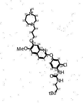 COc1cc2ccc(Oc3ccc(NC(=O)NCCC(C)(C)C)c(Cl)c3)nc2cc1OCCCN1CCCN(C)CC1